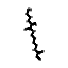 C=CC(=O)OCCCCOC(=O)C(=C)CCCO